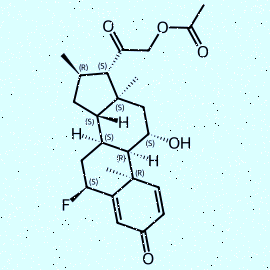 CC(=O)OCC(=O)[C@H]1[C@H](C)C[C@H]2[C@@H]3C[C@H](F)C4=CC(=O)C=C[C@]4(C)[C@@H]3[C@@H](O)C[C@@]21C